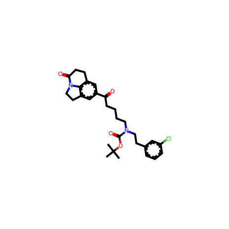 CC(C)(C)OC(=O)N(CCCCC(=O)c1cc2c3c(c1)CCN3C(=O)CC2)CCc1cccc(Cl)c1